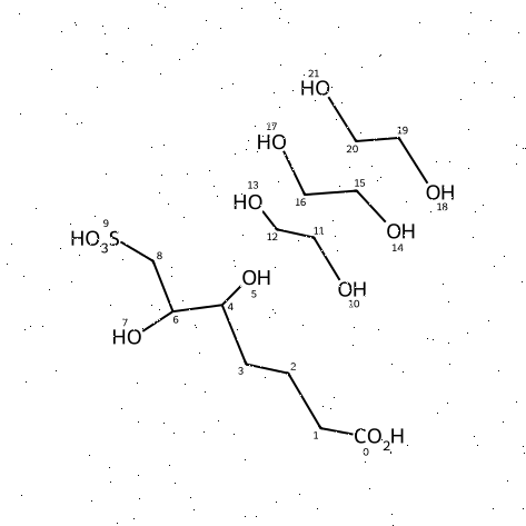 O=C(O)CCCC(O)C(O)CS(=O)(=O)O.OCCO.OCCO.OCCO